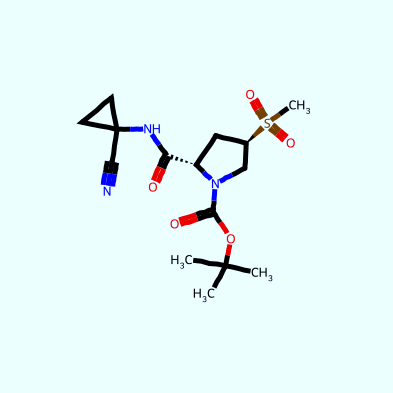 CC(C)(C)OC(=O)N1C[C@H](S(C)(=O)=O)C[C@H]1C(=O)NC1(C#N)CC1